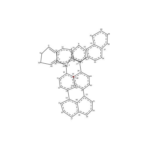 C1=CC(N(c2ccccc2)c2ccc(-c3cccc4cccc(-c5ccc(N(c6ccccc6)c6ccc7ccccc7c6)cc5)c34)cc2)=CCC1